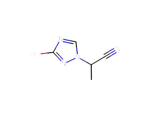 CC(C#N)n1cnc(O)n1